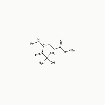 CC(C)N[C@H](CCC(=O)OC(C)(C)C)C(=O)C(C)(C)O